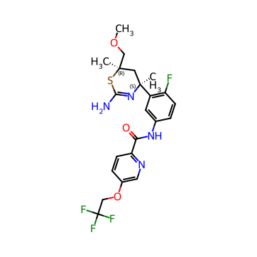 COC[C@@]1(C)C[C@@](C)(c2cc(NC(=O)c3ccc(OCC(F)(F)F)cn3)ccc2F)N=C(N)S1